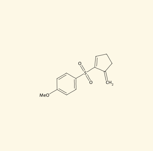 C=C1CCC=C1S(=O)(=O)c1ccc(OC)cc1